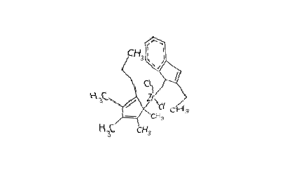 CCCC1=C(C)C(C)=C(C)[C]1(C)[Zr]([Cl])([Cl])[CH]1C(CC)=Cc2ccccc21